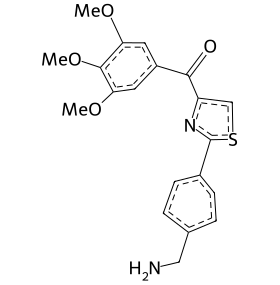 COc1cc(C(=O)c2csc(-c3ccc(CN)cc3)n2)cc(OC)c1OC